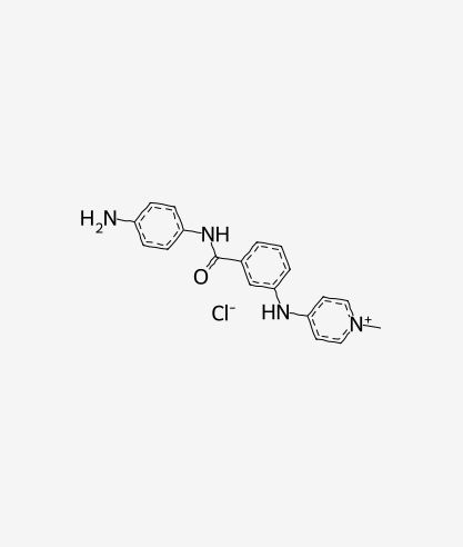 C[n+]1ccc(Nc2cccc(C(=O)Nc3ccc(N)cc3)c2)cc1.[Cl-]